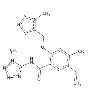 C=Cc1cc(C(=O)Nc2nnnn2C)c(OCc2nnnn2C)nc1C(F)(F)F